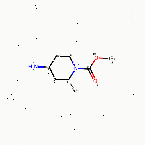 C[C@@H]1C[C@@H](N)CCN1C(=O)OC(C)(C)C